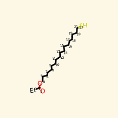 CCC(=O)OCCCCCCCCCCCCCCCCCCS